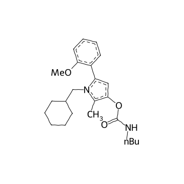 CCCCNC(=O)Oc1cc(-c2ccccc2OC)n(CC2CCCCC2)c1C